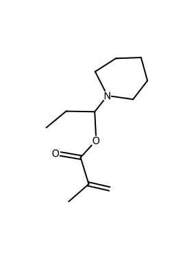 C=C(C)C(=O)OC(CC)N1CCCCC1